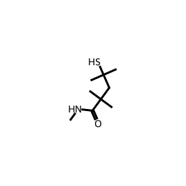 CNC(=O)C(C)(C)CC(C)(C)S